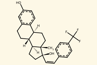 C[C@]12CC[C@@H]3c4ccc(O)cc4CC[C@H]3[C@@H]1CC[C@@]2(O)/C=C\c1ccc(C(F)(F)F)cc1